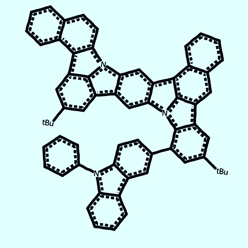 CC(C)(C)c1cc(-c2ccc3c(c2)c2ccccc2n3-c2ccccc2)c2c(c1)c1cc3ccccc3c3c4cc5c(cc4n2c13)c1cc(C(C)(C)C)cc2c3c4ccccc4ccc3n5c12